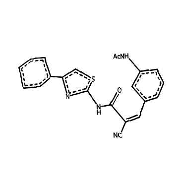 CC(=O)Nc1cccc(C=C(C#N)C(=O)Nc2nc(-c3ccccc3)cs2)c1